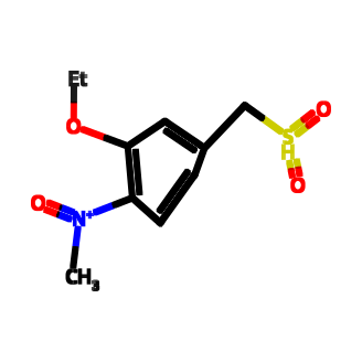 CCOc1cc(C[SH](=O)=O)ccc1[N+](C)=O